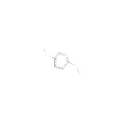 NNc1ccc(SC(F)(F)F)cn1